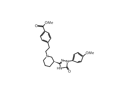 COC(=O)c1ccc(CCN2CCC[C@H](c3nn(-c4ccc(OC)cc4)c(=O)[nH]3)C2)cc1